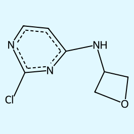 Clc1nccc(NC2COC2)n1